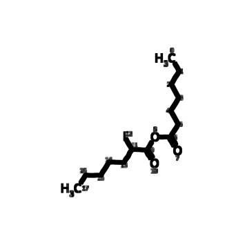 CCCCCCC(=O)OC(=O)C(I)CCCCC